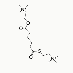 C[N+](C)(C)CCOC(=O)CCCCC(=O)SCC[N+](C)(C)C